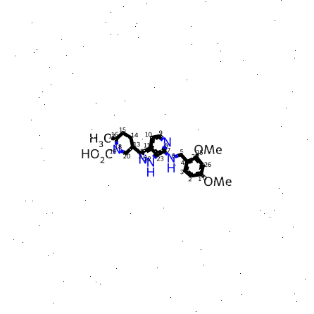 COc1ccc(CNc2nccc3c(C4CCC(C)N(C(=O)O)C4)n[nH]c23)c(OC)c1